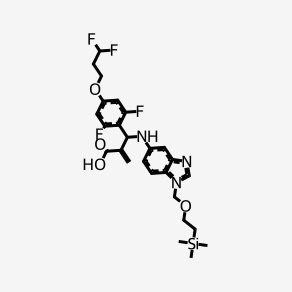 C=C(C(=O)O)C(Nc1ccc2c(c1)ncn2COCC[Si](C)(C)C)c1c(F)cc(OCCC(F)F)cc1F